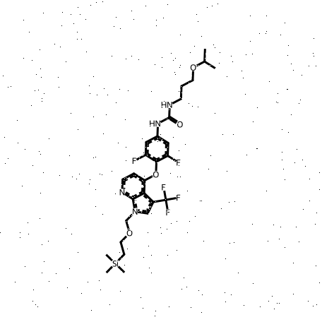 CC(C)OCCCNC(=O)Nc1cc(F)c(Oc2ccnc3c2c(C(F)(F)F)cn3COCC[Si](C)(C)C)c(F)c1